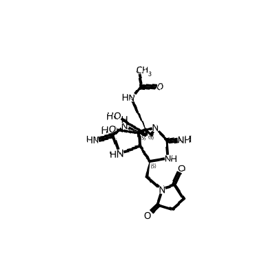 CC(=O)N[C@H]1CN2C(=N)N[C@@H](CN3C(=O)CCC3=O)C3NC(=N)N[C@@]32C1(O)O